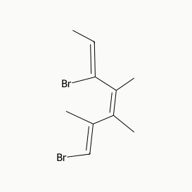 C/C=C(Br)/C(C)=C(C)\C(C)=C\Br